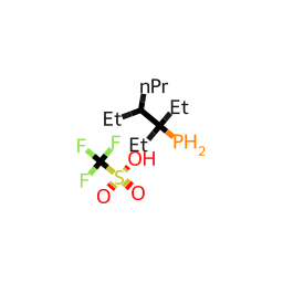 CCCC(CC)C(P)(CC)CC.O=S(=O)(O)C(F)(F)F